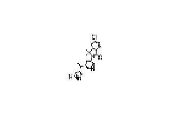 CC(c1cn[nH]c1)c1cncc(N2C(=O)c3ccc(Cl)cc3C2(C)C)c1